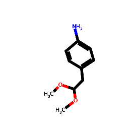 COC(Cc1ccc(N)cc1)OC